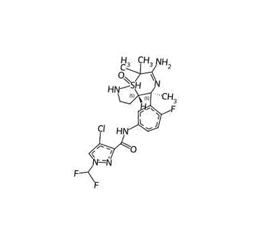 CC1(C)C(N)=N[C@@](C)(c2cc(NC(=O)c3nn(C(F)F)cc3Cl)ccc2F)[C@@H]2CCN[SH]21=O